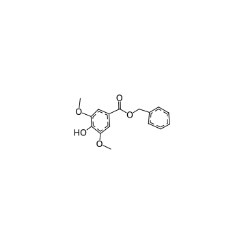 COc1cc(C(=O)OCc2ccccc2)cc(OC)c1O